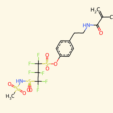 C=C(C)C(=O)NCCc1ccc(OS(=O)(=O)C(F)(F)C(F)(F)C(F)(F)S(=O)(=O)NS(C)(=O)=O)cc1